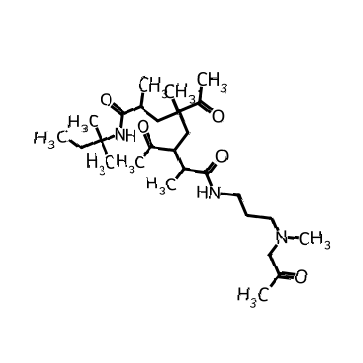 CCC(C)(C)NC(=O)C(C)CC(C)(CC(C(C)=O)C(C)C(=O)NCCCN(C)CC(C)=O)C(C)=O